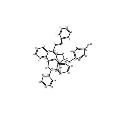 O=C1c2c(c(/C=C/c3ccccc3)c3cccnc3c2CC(c2ccccc2)c2ccccc2)CN1Cc1ccc(F)cc1